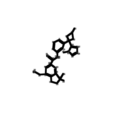 CC1CC(c2cccc(NC(=O)c3cc(CCl)c4c(n3)C(C)(C)CC4)c2)(c2nncn2C)C1